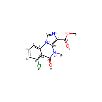 COC(=O)c1ncn2c3cccc(Cl)c3c(=O)n(C)c12